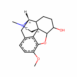 COc1ccc2c3c1OC1C(O)CCC4[C@@H](C2)N(C)CC[C@]314